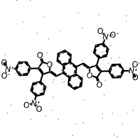 O=C1OC(=Cc2c3ccccc3c(C=C3OC(=O)C(c4ccc([N+](=O)[O-])cc4)=C3c3ccc([N+](=O)[O-])cc3)c3ccccc23)C(c2ccc([N+](=O)[O-])cc2)=C1c1ccc([N+](=O)[O-])cc1